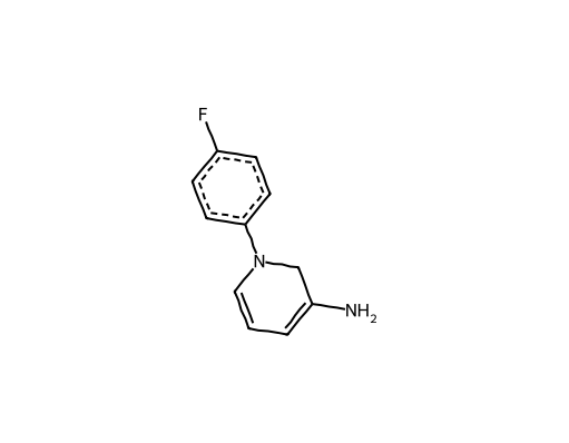 NC1=CC=CN(c2ccc(F)cc2)C1